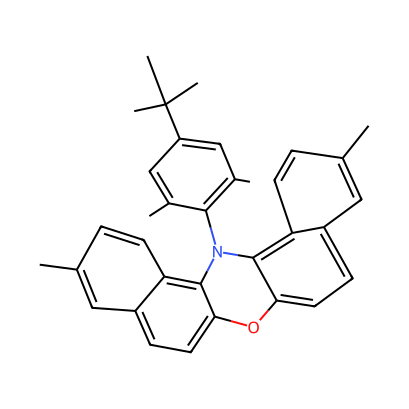 Cc1ccc2c3c(ccc2c1)Oc1ccc2cc(C)ccc2c1N3c1c(C)cc(C(C)(C)C)cc1C